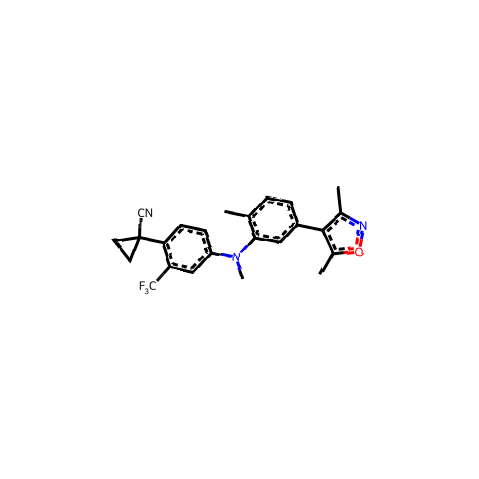 Cc1ccc(-c2c(C)noc2C)cc1N(C)c1ccc(C2(C#N)CC2)c(C(F)(F)F)c1